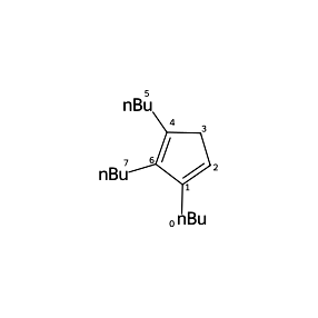 CCCCC1=CCC(CCCC)=C1CCCC